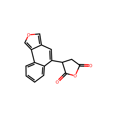 O=C1CC(c2cc3cocc3c3ccccc23)C(=O)O1